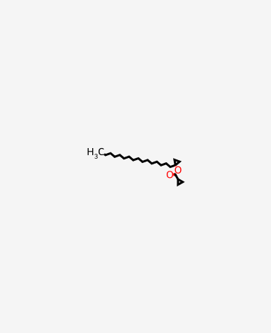 CCCCCCCCCCCCCCCCC1(OC(=O)C2CC2)CC1